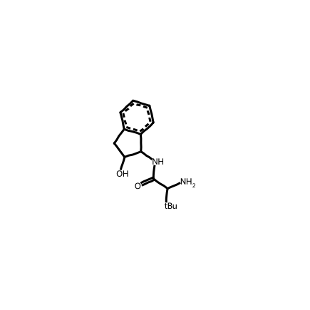 CC(C)(C)C(N)C(=O)NC1c2ccccc2CC1O